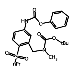 CCCS(=O)(=O)c1ccc(NC(=O)Oc2ccccc2)cc1CN(C)C(=O)OC(C)(C)C